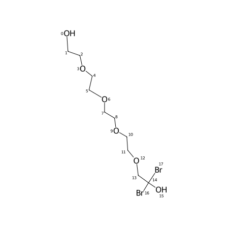 OCCOCCOCCOCCOCC(O)(Br)Br